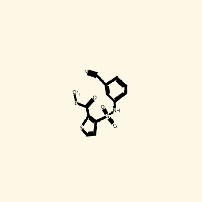 COC(=O)c1sccc1S(=O)(=O)Nc1cccc(C#N)c1